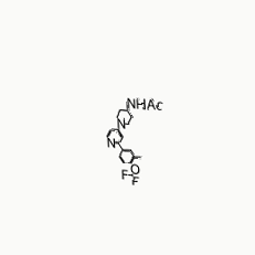 CC(=O)NC1CCN(c2ccnc(-c3ccc(OC(F)F)c(C)c3)c2)CC1